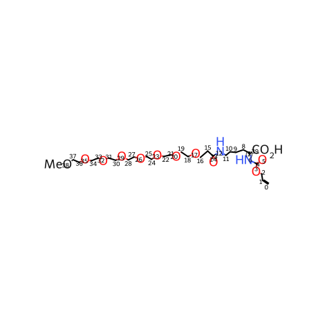 C=CCOC(=O)N[C@@H](CCCCNC(=O)CCOCCOCCOCCOCCOCCOCCOCCOC)C(=O)O